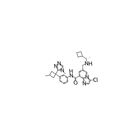 CC1CC(c2cccc(NC(=O)c3cc(CN[C@@H](C)C4CCC4)cn4c(Cl)cnc34)c2)(c2nncn2C)C1